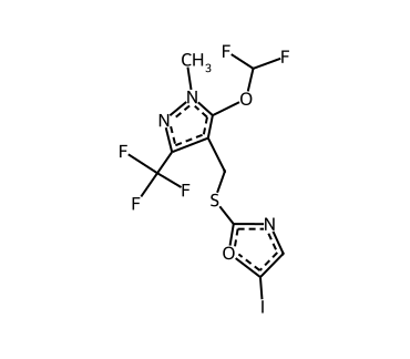 Cn1nc(C(F)(F)F)c(CSc2ncc(I)o2)c1OC(F)F